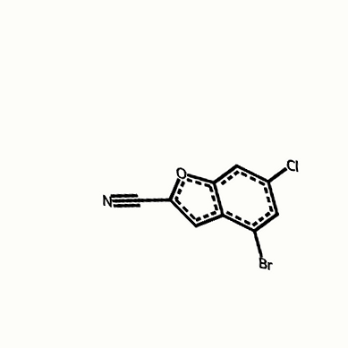 N#Cc1cc2c(Br)cc(Cl)cc2o1